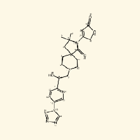 CC1(C)CC2(CCN(CC(O)c3cnc(-n4cnnn4)cn3)CC2)C(=O)N1C1=CC(=O)OC1